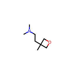 CN(C)CCC1(C)COC1